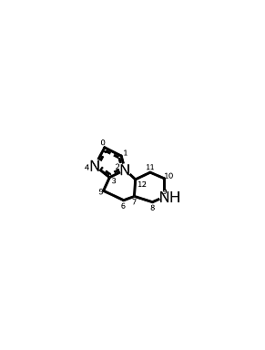 c1cn2c(n1)CCC1CNCCC12